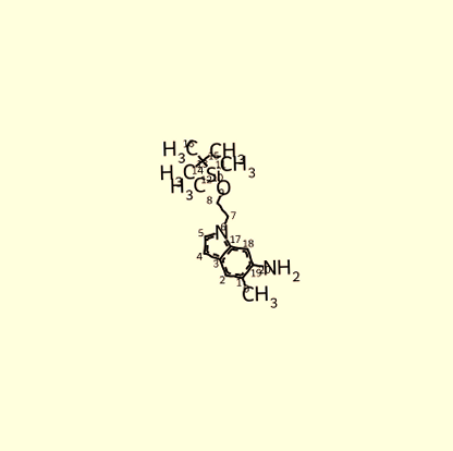 Cc1cc2ccn(CCO[Si](C)(C)C(C)(C)C)c2cc1N